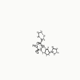 O=C(O)[C@H](Cc1ccc(N2CCCC2)cc1)NC(=O)N1CCCCC1